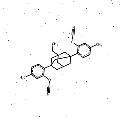 CCC12CC3CC(c4ccc(C)cc4OC#N)(C1)CC(c1ccc(C)cc1OC#N)(C3)C2